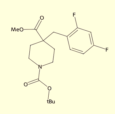 COC(=O)C1(Cc2ccc(F)cc2F)CCN(C(=O)OC(C)(C)C)CC1